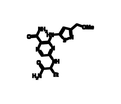 CCC(Nc1cnc(C(N)=O)c(Nc2cc(COC)ns2)n1)C(N)=O